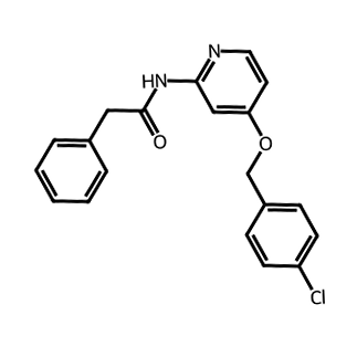 O=C(Cc1ccccc1)Nc1cc(OCc2ccc(Cl)cc2)ccn1